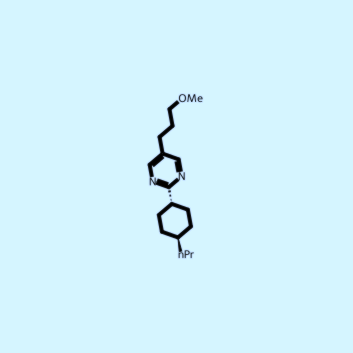 CCC[C@H]1CC[C@H](c2ncc(CCCOC)cn2)CC1